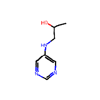 CC(O)CNc1cncnc1